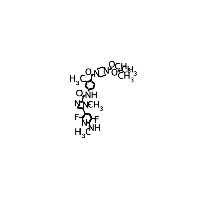 CNc1nc(F)c(-c2cnc(C(=O)Nc3ccc(C(=O)N4CCN(C(=O)OC(C)(C)C)CC4)c(C)c3)n2C)cc1F